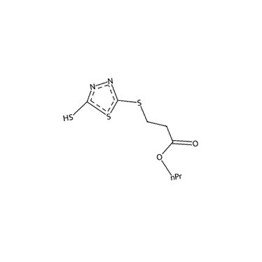 CCCOC(=O)CCSc1nnc(S)s1